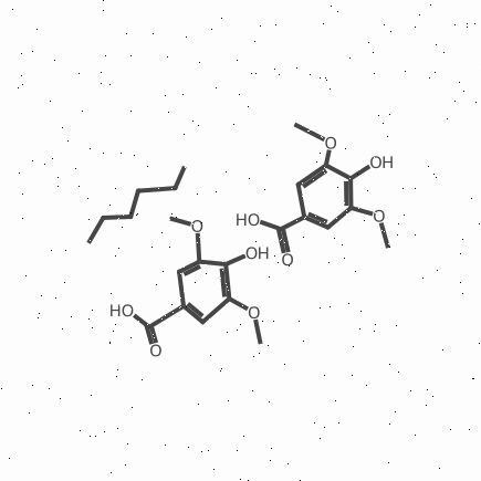 CCCCCC.COc1cc(C(=O)O)cc(OC)c1O.COc1cc(C(=O)O)cc(OC)c1O